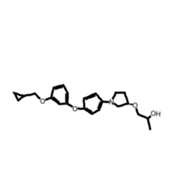 CC(O)CO[C@@H]1CCN(c2ccc(Oc3cccc(OCC4CC4)c3)cc2)C1